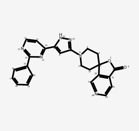 O=C1OC2(CCN(c3cc(-c4ccnc(-c5ccccc5)n4)[nH]n3)CC2)c2cnccc21